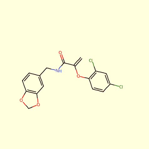 C=C(Oc1ccc(Cl)cc1Cl)C(=O)NCc1ccc2c(c1)OCO2